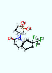 O=c1ccc2ccc(C(F)(F)F)cc2n1[C@@H]1C=CS(=O)(=O)C1